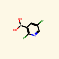 OB(O)c1cc(Br)cnc1F